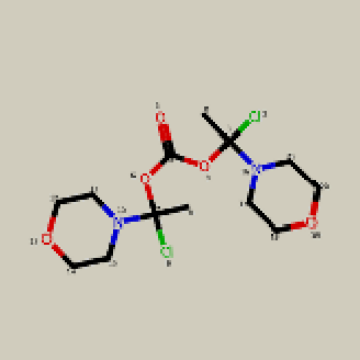 CC(Cl)(OC(=O)OC(C)(Cl)N1CCOCC1)N1CCOCC1